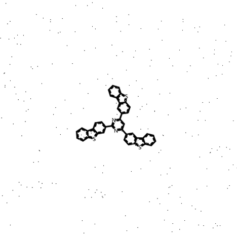 c1ccc2c(c1)sc1cc(-c3nc(-c4ccc5sc6ccccc6c5c4)cc(-c4ccc5sc6ccccc6c5c4)n3)ccc12